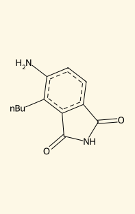 CCCCc1c(N)ccc2c1C(=O)NC2=O